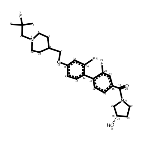 CC(C)(F)CN1CCC(COc2ccc(-c3ccc(C(=O)N4CC[C@H](O)C4)cc3F)c(F)c2)CC1